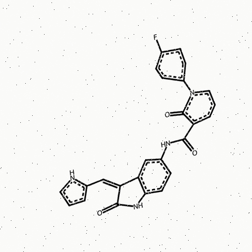 O=C1Nc2ccc(NC(=O)c3cccn(-c4ccc(F)cc4)c3=O)cc2C1=Cc1ccc[nH]1